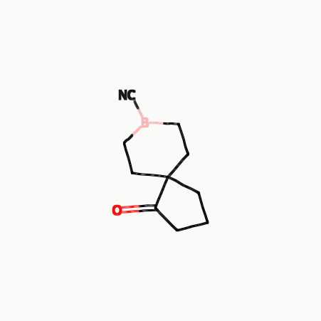 N#CB1CCC2(CCCC2=O)CC1